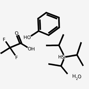 CC(C)[SiH](C(C)C)C(C)C.O.O=C(O)C(F)(F)F.Oc1ccccc1